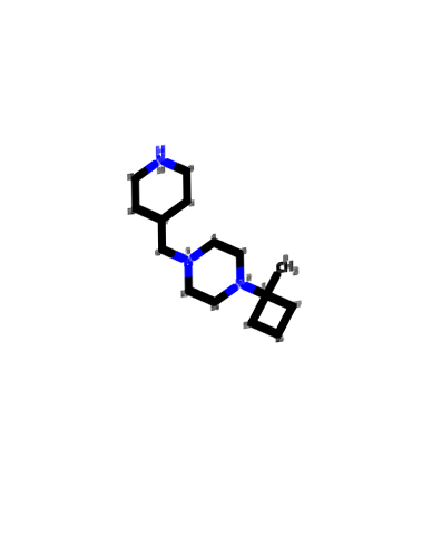 CC1(N2CCN(CC3CCNCC3)CC2)CCC1